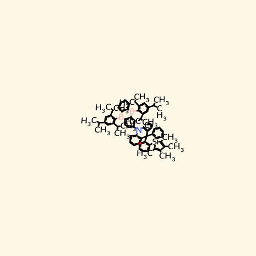 CC1=C(C)[Si]2(C(C)=C1C)c1ccccc1C1(c3ccccc3N(c3ccc4c(c3)B(c3c(C(C)C)cc(C(C)C)cc3C(C)C)c3ccccc3B4c3c(C(C)C)cc(C(C)C)cc3C(C)C)c3ccccc31)c1ccccc12